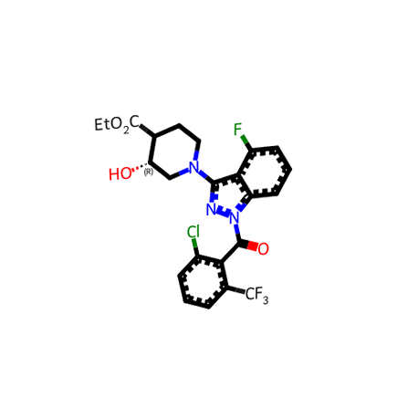 CCOC(=O)C1CCN(c2nn(C(=O)c3c(Cl)cccc3C(F)(F)F)c3cccc(F)c23)C[C@@H]1O